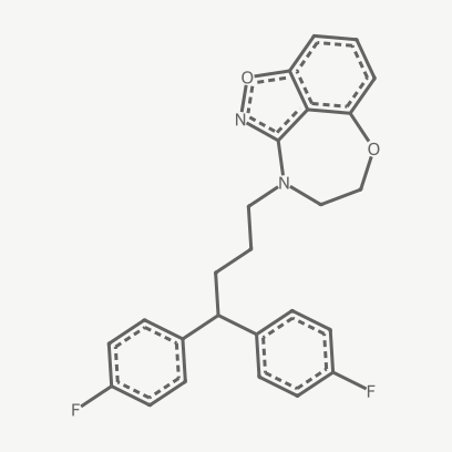 Fc1ccc(C(CCCN2CCOc3cccc4onc2c34)c2ccc(F)cc2)cc1